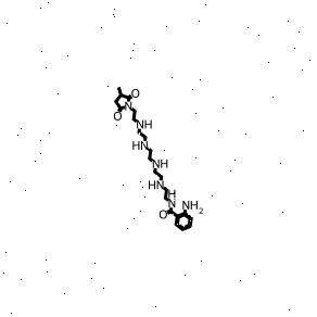 CC1CC(=O)N(CCNCCNCCNCCNCCNC(=O)c2ccccc2N)C1=O